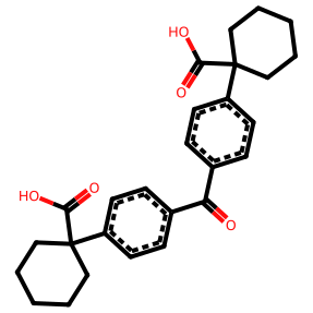 O=C(c1ccc(C2(C(=O)O)CCCCC2)cc1)c1ccc(C2(C(=O)O)CCCCC2)cc1